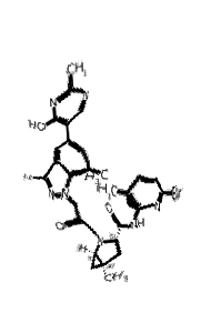 CC(=O)c1nn(CC(=O)N2[C@H](C(=O)Nc3nc(Br)ccc3C)C[C@@]3(C)C[C@@H]23)c2c(C)cc(-c3cnc(C)nc3O)cc12